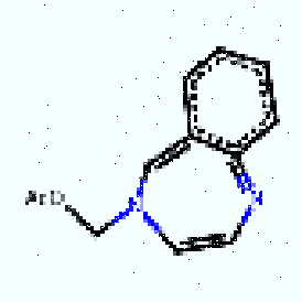 CC(=O)OCN1C=CN=c2ccccc2=C1